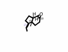 C/C=C1/CC[C@H]2C3O[C@H]3CC[C@]12C